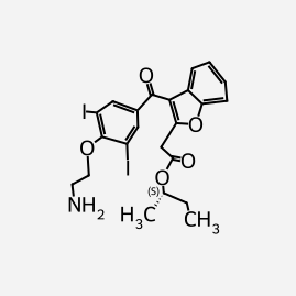 CC[C@H](C)OC(=O)Cc1oc2ccccc2c1C(=O)c1cc(I)c(OCCN)c(I)c1